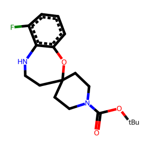 CC(C)(C)OC(=O)N1CCC2(CCNc3c(F)cccc3O2)CC1